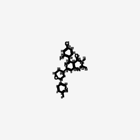 Cc1ccc([C@H]2C[C@H](c3cc4nc(C)n(C)c(=O)c4c(-c4ccc(Cl)cc4F)n3)CCO2)cn1